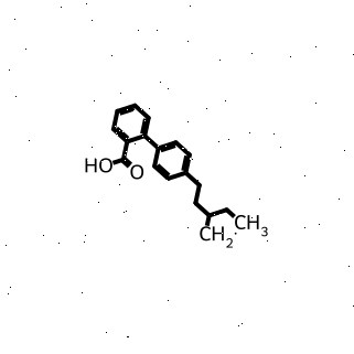 [CH2]C(CC)CCc1ccc(-c2ccccc2C(=O)O)cc1